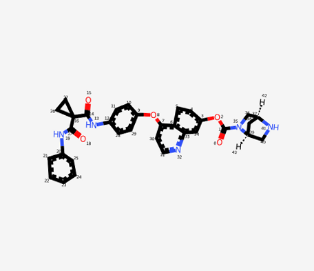 O=C(Oc1ccc2c(Oc3ccc(NC(=O)C4(C(=O)Nc5ccccc5)CC4)cc3)ccnc2c1)N1C[C@@H]2C[C@H]1CN2